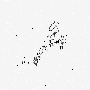 Cc1ncn(S(=O)(=O)c2ccc(NC(=O)COc3nc(N4C[C@H]5CC[C@@H](C4)N5)c4cnc(-c5cccc6cccc(Cl)c56)c(F)c4n3)cc2)n1